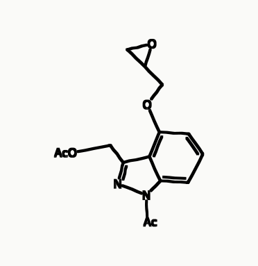 CC(=O)OCc1nn(C(C)=O)c2cccc(OCC3CO3)c12